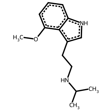 COc1cccc2[nH]cc(CCNC(C)C)c12